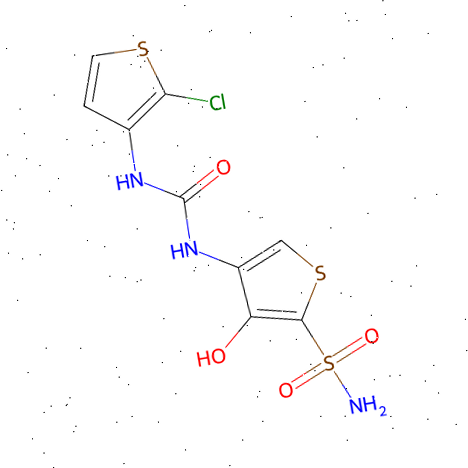 NS(=O)(=O)c1scc(NC(=O)Nc2ccsc2Cl)c1O